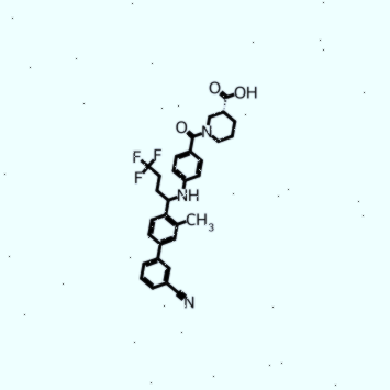 Cc1cc(-c2cccc(C#N)c2)ccc1C(CCC(F)(F)F)Nc1ccc(C(=O)N2CCC[C@@H](C(=O)O)C2)cc1